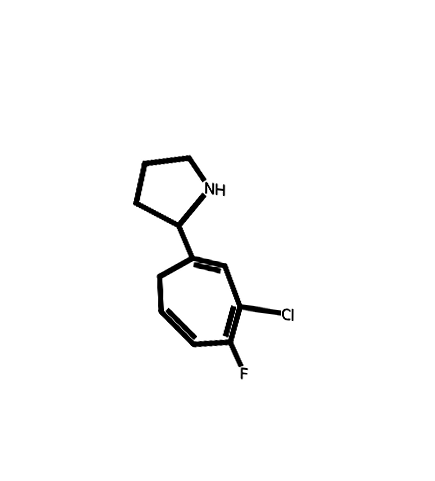 FC1=C(Cl)C=C(C2CCCN2)CC=C1